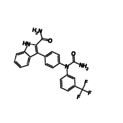 NC(=O)c1[nH]c2ccccc2c1-c1ccc(N(C(N)=O)c2cccc(C(F)(F)F)c2)cc1